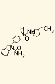 CCc1cccc(NC(=O)Nc2ccc(-c3cc4ccccc4n3C(N)=O)cc2)c1